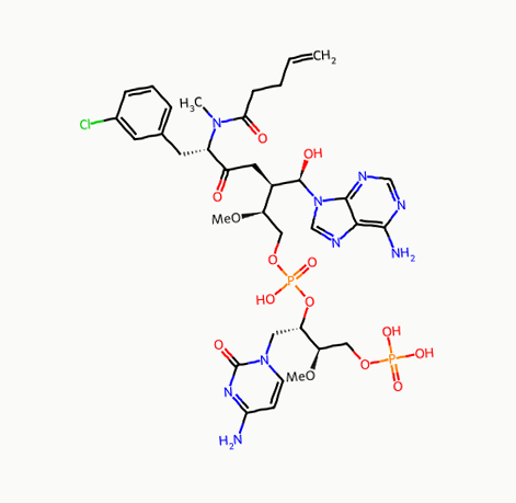 C=CCCC(=O)N(C)[C@@H](Cc1cccc(Cl)c1)C(=O)C[C@@H]([C@@H](O)n1cnc2c(N)ncnc21)[C@@H](COP(=O)(O)O[C@@H](Cn1ccc(N)nc1=O)[C@@H](COP(=O)(O)O)OC)OC